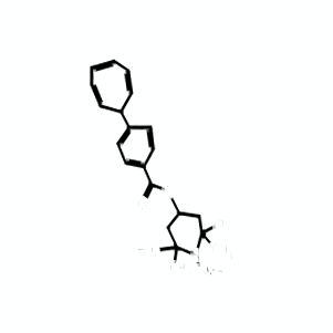 CON1C(C)(C)CC(OC(=O)c2ccc(C3C=CC=CC=C3)cc2)CC1(C)C